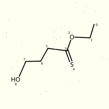 CCOC(=S)CCCO